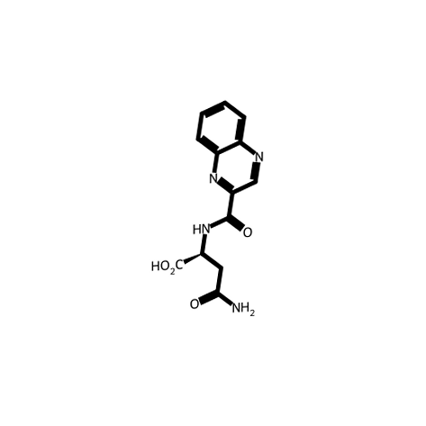 NC(=O)C[C@H](NC(=O)c1cnc2ccccc2n1)C(=O)O